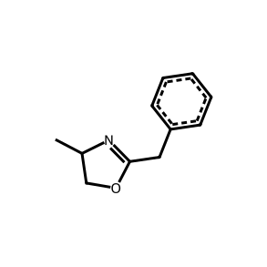 CC1COC(Cc2ccccc2)=N1